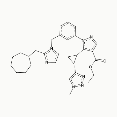 CCOC(=O)c1cnn(-c2cccc(Cn3ccnc3CC3CCCCCC3)c2)c1C1C[C@H]1c1cn(C)nn1